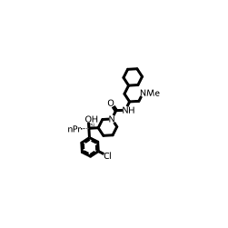 CCC[C@@](O)(c1cccc(Cl)c1)C1CCCN(C(=O)NC(CNC)CC2CCCCC2)C1